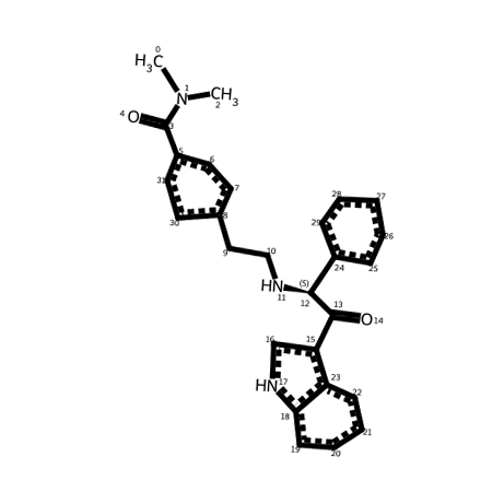 CN(C)C(=O)c1ccc(CCN[C@H](C(=O)c2c[nH]c3ccccc23)c2ccccc2)cc1